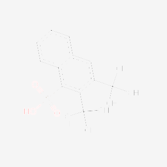 CC(C)(C)c1cc2ccccc2c(S(=O)(=O)O)c1C(C)(C)C